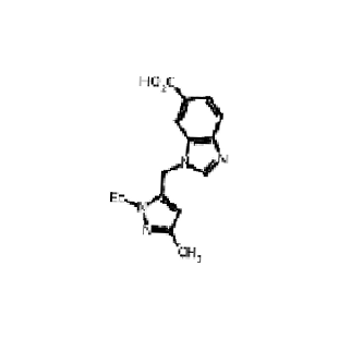 CCn1nc(C)cc1Cn1cnc2ccc(C(=O)O)cc21